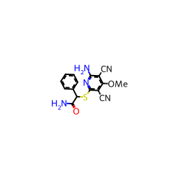 COc1c(C#N)c(N)nc(SC(C(N)=O)c2ccccc2)c1C#N